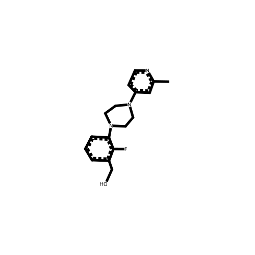 Cc1cc(N2CCN(c3cccc(CO)c3F)CC2)ccn1